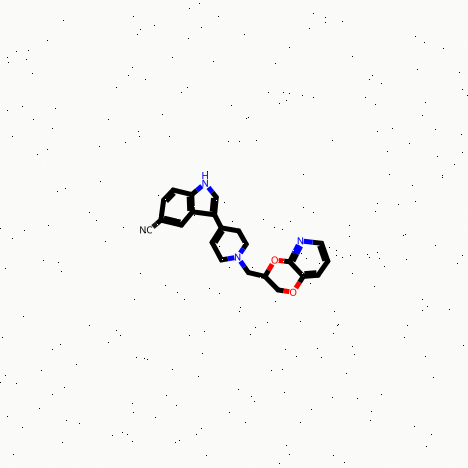 N#Cc1ccc2[nH]cc(C3=CCN(CC4COc5cccnc5O4)CC3)c2c1